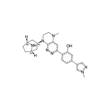 CN1CCN([C@@H]2C[C@H]3CC[C@@H](C2)N3)c2nnc(-c3ccc(-c4cnn(C)c4)cc3O)cc21